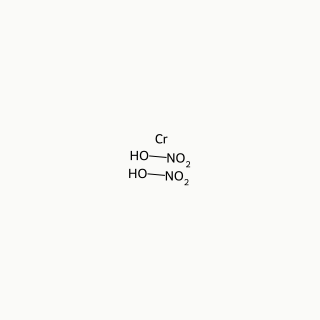 O=[N+]([O-])O.O=[N+]([O-])O.[Cr]